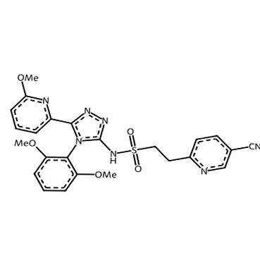 COc1cccc(-c2nnc(NS(=O)(=O)CCc3ccc(C#N)cn3)n2-c2c(OC)cccc2OC)n1